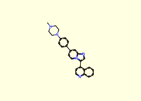 CN1CCN(c2ccc(-c3ccn4c(-c5ccnc6ccccc56)cnc4c3)cc2)CC1